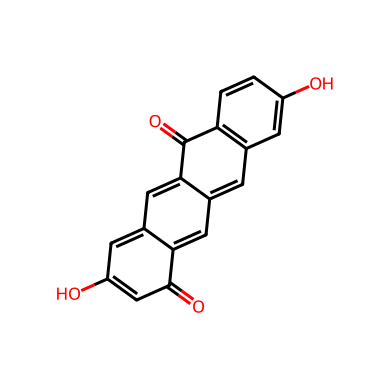 O=C1C=C(O)C=c2cc3c(cc21)=Cc1cc(O)ccc1C3=O